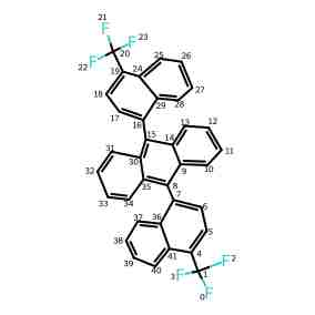 FC(F)(F)c1ccc(-c2c3ccccc3c(-c3ccc(C(F)(F)F)c4ccccc34)c3ccccc23)c2ccccc12